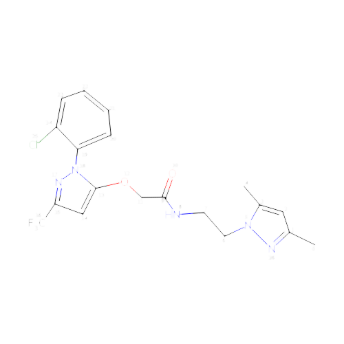 Cc1cc(C)n(CCNC(=O)COc2cc(C(F)(F)F)nn2-c2ccccc2Cl)n1